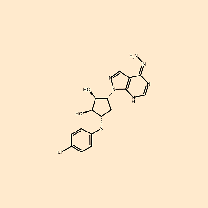 N/N=c1/nc[nH]c2c1cnn2[C@@H]1C[C@H](Sc2ccc(Cl)cc2)[C@@H](O)[C@H]1O